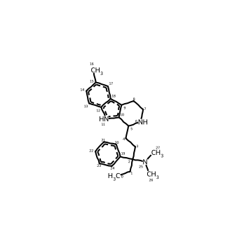 CCC(CCC1NCCc2c1[nH]c1ccc(C)cc21)(c1ccccc1)N(C)C